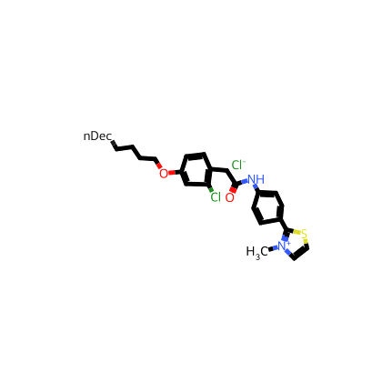 CCCCCCCCCCCCCCOc1ccc(CC(=O)Nc2ccc(-c3scc[n+]3C)cc2)c(Cl)c1.[Cl-]